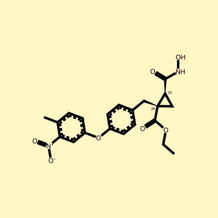 CCOC(=O)[C@@]1(Cc2ccc(Oc3ccc(C)c([N+](=O)[O-])c3)cc2)C[C@@H]1C(=O)NO